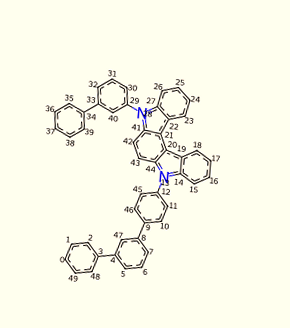 c1ccc(-c2cccc(-c3ccc(-n4c5ccccc5c5c6c7ccccc7n(-c7cccc(-c8ccccc8)c7)c6ccc54)cc3)c2)cc1